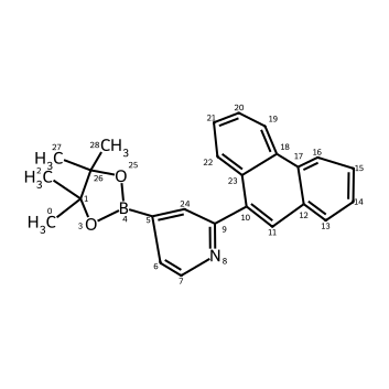 CC1(C)OB(c2ccnc(-c3cc4ccccc4c4ccccc34)c2)OC1(C)C